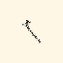 C=CC(=O)C(C)(C)NC(C)(C)CCCCCCCCCCCCCCCCCCCC